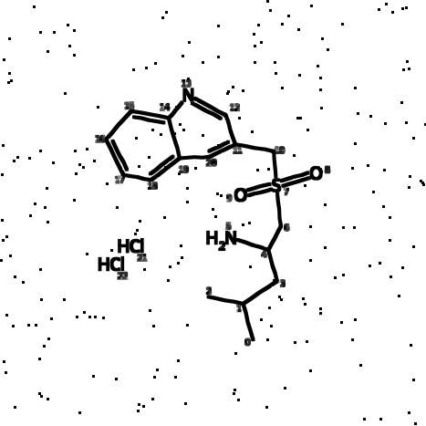 CC(C)CC(N)CS(=O)(=O)Cc1cnc2ccccc2c1.Cl.Cl